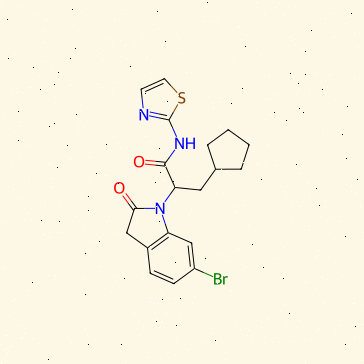 O=C(Nc1nccs1)C(CC1CCCC1)N1C(=O)Cc2ccc(Br)cc21